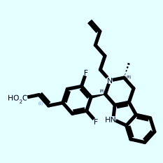 C=CCCCN1[C@H](c2c(F)cc(/C=C/C(=O)O)cc2F)c2[nH]c3ccccc3c2C[C@H]1C